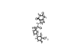 Cn1c(=O)n(C)c2ncc(CC(=O)Nc3nc(-c4ccc(F)c(C(F)(F)F)c4F)cs3)n2c1=O